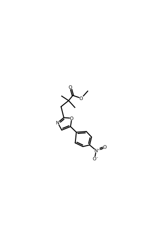 COC(=O)C(C)(C)Cc1ncc(-c2ccc([N+](=O)[O-])cc2)o1